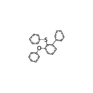 c1ccc(Oc2cccc(-c3ccccc3)c2Sc2ccccc2)cc1